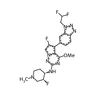 COc1nc(N[C@@H]2CCN(C)C[C@@H]2F)nn2cc(F)c(-c3ccc4nnn(CC(F)F)c4c3)c12